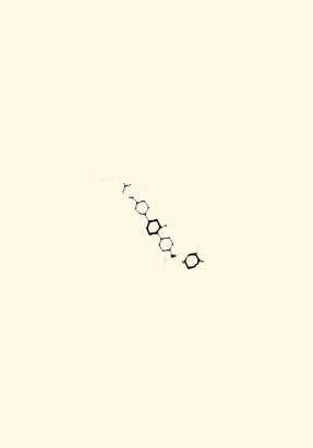 CCCCCC1COC(C2CCC(c3ccc(C4CCC(C(F)(F)Oc5ccc(C)c(F)c5)CC4)c(F)c3)CC2)OC1